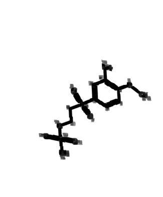 COc1ccc(S(=O)(=O)CCOS(=O)(=O)O)cc1[NH]